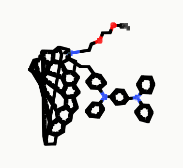 COCCOCCN1CC2C3=c4c5c6c7c(cc8cc9cc%10cc%11cc%12c%13c(c4c4c5c5c7c8c7c9c%10c8c%11c%13c4c8c75)=C(C3)C%12)CC62C1CCc1ccc(N(c2ccccc2)c2ccc(N(c3ccccc3)c3ccccc3)cc2)cc1